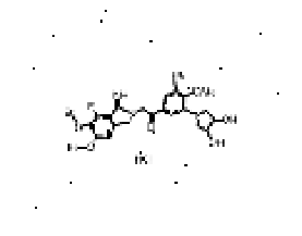 CCOc1cc2c(c(F)c1OCC)C(=N)N(CC(=O)c1cc(N3CC(O)C(O)C3)c(OC)c(C(C)(C)C)c1)C2.Cl